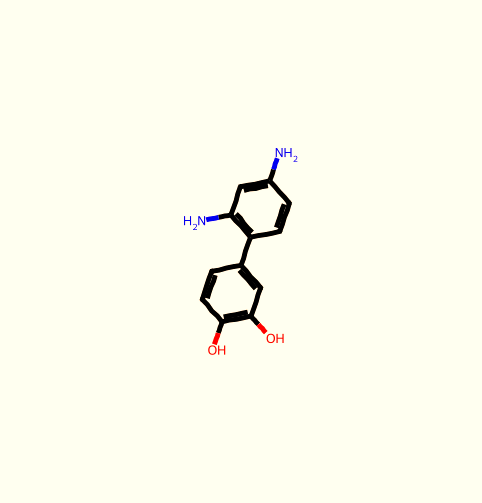 Nc1ccc(-c2ccc(O)c(O)c2)c(N)c1